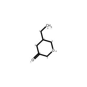 CCC1COCC(=O)C1